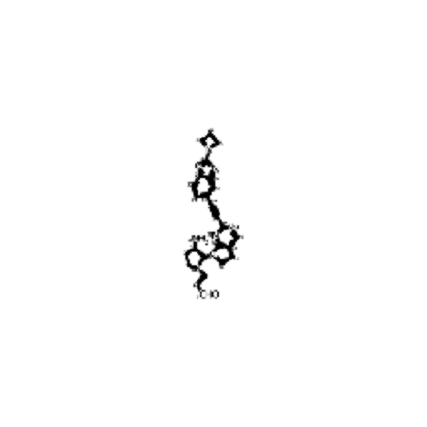 NC1CCN(C=CC=O)C1n1ccc2cnc(C#Cc3ccc4oc(N5CCC5)nc4c3)nc21